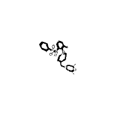 C[C@@H]1CN(CC2CCN(c3c(F)cccc3NS(=O)(=O)c3ccccc3)CC2)C[C@H](C)O1